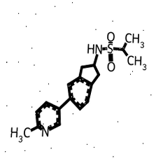 Cc1ccc(-c2ccc3c(c2)CC(NS(=O)(=O)C(C)C)C3)cn1